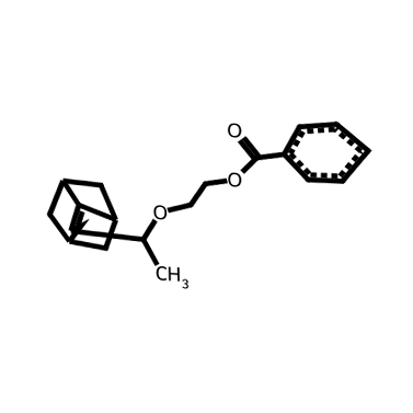 CC(OCCOC(=O)c1ccccc1)C1=C2C3CC(C1)CC2C3